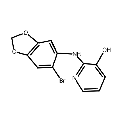 Oc1cccnc1Nc1cc2c(cc1Br)OCO2